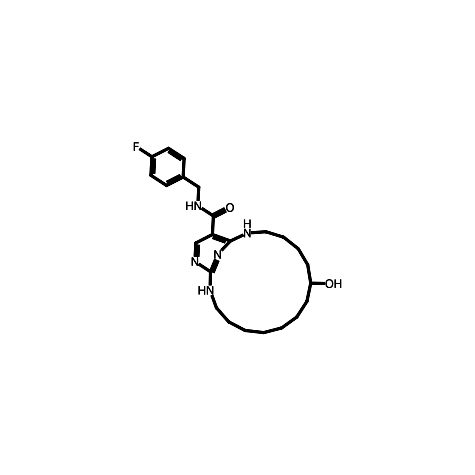 O=C(NCc1ccc(F)cc1)c1cnc2nc1NCCCCC(O)CCCCCCCN2